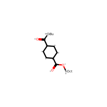 CCCCCCCCOC(=O)C1CCC(C(=O)OCC(C)C)CC1